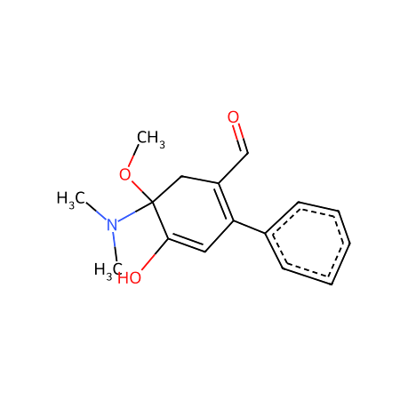 COC1(N(C)C)CC(C=O)=C(c2ccccc2)C=C1O